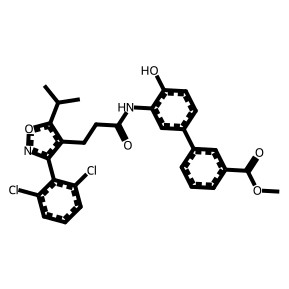 COC(=O)c1cccc(-c2ccc(O)c(NC(=O)CCc3c(-c4c(Cl)cccc4Cl)noc3C(C)C)c2)c1